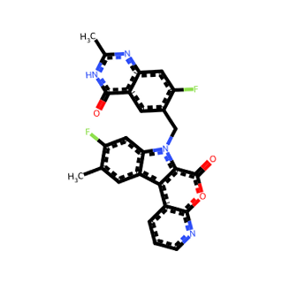 Cc1nc2cc(F)c(Cn3c4cc(F)c(C)cc4c4c5cccnc5oc(=O)c43)cc2c(=O)[nH]1